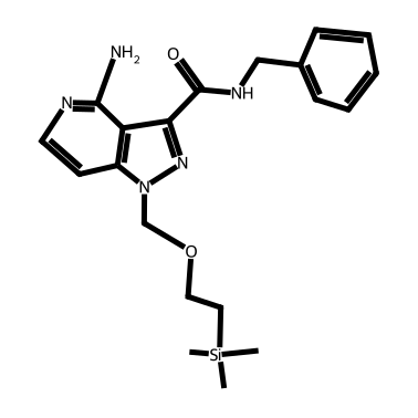 C[Si](C)(C)CCOCn1nc(C(=O)NCc2ccccc2)c2c(N)nccc21